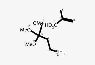 C=C(C)C(=O)O.COC(CC[SiH3])(OC)OC